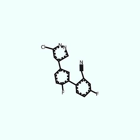 N#Cc1cc(F)ccc1-c1cc(-c2cnnc(Cl)c2)ccc1F